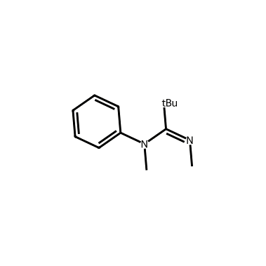 C/N=C(\N(C)c1ccccc1)C(C)(C)C